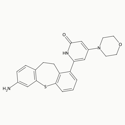 Nc1ccc2c(c1)Sc1cccc(-c3cc(N4CCOCC4)cc(=O)[nH]3)c1CC2